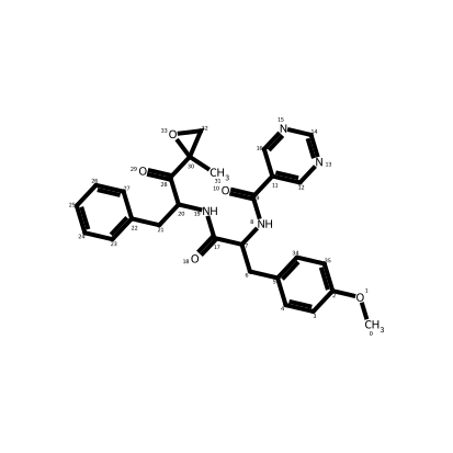 COc1ccc(CC(NC(=O)c2cncnc2)C(=O)NC(Cc2ccccc2)C(=O)C2(C)CO2)cc1